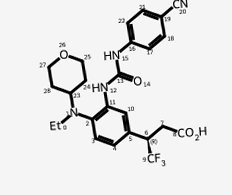 CCN(c1ccc([C@@H](CC(=O)O)C(F)(F)F)cc1NC(=O)Nc1ccc(C#N)cc1)C1CCOCC1